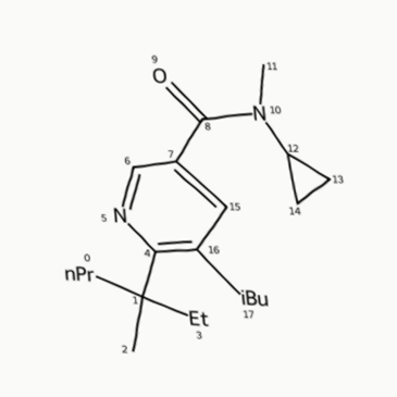 CCCC(C)(CC)c1ncc(C(=O)N(C)C2CC2)cc1C(C)CC